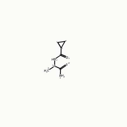 CN(NC(=O)C1CC1)C(N)=S